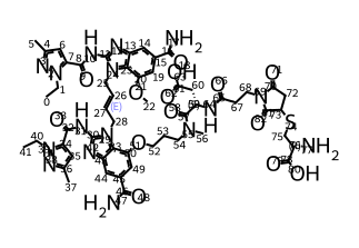 CCn1nc(C)cc1C(=O)Nc1nc2cc(C(N)=O)cc(OC)c2n1C/C=C/Cn1c(NC(=O)c2cc(C)nn2CC)nc2cc(C(N)=O)cc(OCCCN(C)C(=O)[C@H](CC(=O)O)NC(=O)CCN3C(=O)CC(SC[C@H](N)C(=O)O)C3=O)c21